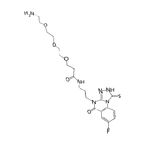 NCCOCCOCCOCCC(=O)NCCCn1c(=O)c2cc(F)ccc2n2c(=S)[nH]nc12